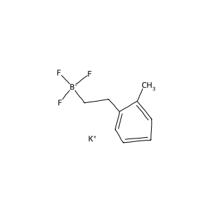 Cc1ccccc1CC[B-](F)(F)F.[K+]